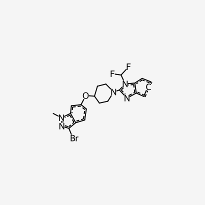 Cn1nc(Br)c2ccc(OC3CCN(c4nc5ccccc5n4C(F)F)CC3)cc21